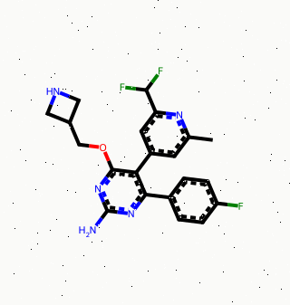 Cc1cc(-c2c(OCC3CNC3)nc(N)nc2-c2ccc(F)cc2)cc(C(F)F)n1